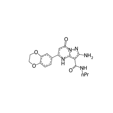 CCCNC(=O)c1c(N)nn2c(=O)cc(-c3ccc4c(c3)OCCO4)[nH]c12